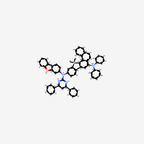 C[Si]1(C)c2cc(N(c3ccc4c(c3)oc3ccccc34)c3nc(-c4ccccc4)cc(-c4ccccc4)n3)ccc2-c2cc(N(c3ccccc3)c3ccccc3)c3ccc4ccccc4c3c21